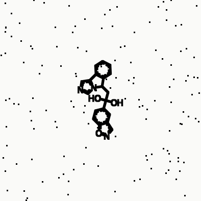 OC(O)(CC1c2ccccc2-c2cncn21)c1ccc2oncc2c1